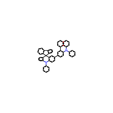 c1ccc(-c2cc(-c3ccc4c(c3)C3(c5ccccc5-c5ccccc53)c3ccccc3N4c3ccccc3)ccc2N(c2ccccc2)c2ccccc2)cc1